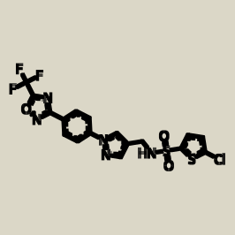 O=S(=O)(NCc1cnn(-c2ccc(-c3noc(C(F)(F)F)n3)cc2)c1)c1ccc(Cl)s1